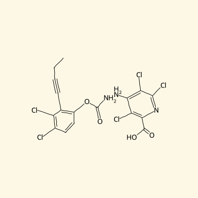 CCC#Cc1c(OC(N)=O)ccc(Cl)c1Cl.Nc1c(Cl)c(Cl)nc(C(=O)O)c1Cl